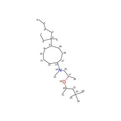 CCCCC(C)(CC)C1CCCCC(N(C)CC(C)OC(C)CC(C)(C)C)CCC1